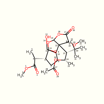 COC(=O)C(C)[C@H]1CCC23OC(O)C12OC1OC(=O)[C@H](OC)C13[C@@H]([C@H](C)OC(C)=O)C(C)(C)C